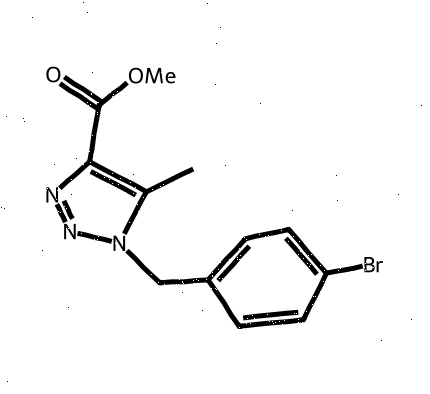 COC(=O)c1nnn(Cc2ccc(Br)cc2)c1C